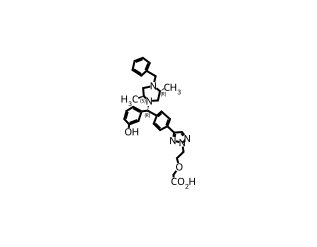 C[C@@H]1CN([C@H](c2ccc(-c3cnn(CCOCC(=O)O)n3)cc2)c2cccc(O)c2)[C@@H](C)CN1Cc1ccccc1